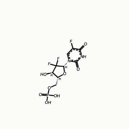 O=c1[nH]c(=O)n([C@@H]2O[C@H](COP(=O)(O)O)[C@@H](O)C2(F)F)cc1F